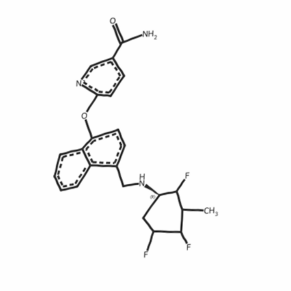 CC1C(F)C(F)C[C@@H](NCc2ccc(Oc3ccc(C(N)=O)cn3)c3ccccc23)C1F